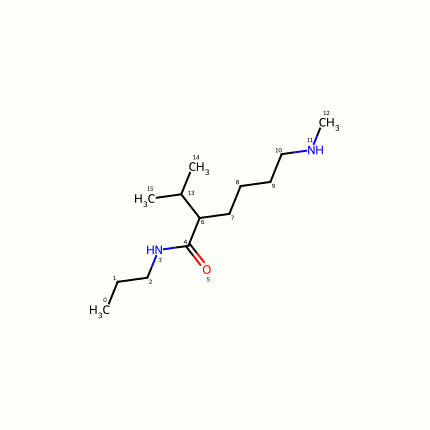 CCCNC(=O)C(CCCCNC)C(C)C